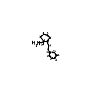 CC1(N)CCCCC1CCc1ccccc1